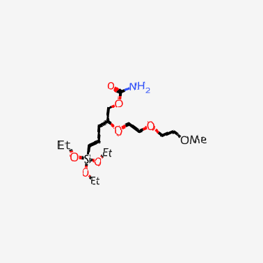 CCO[Si](CCCC(COC(N)=O)OCCOCCOC)(OCC)OCC